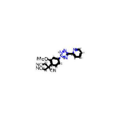 COc1cc(-n2nnc(-c3ccccn3)n2)ccc1C(C#N)(CC#N)CC#N